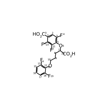 O=C(O)c1cc(F)c(OC(CCCOc2c(F)cccc2F)C(=O)O)c(F)c1F